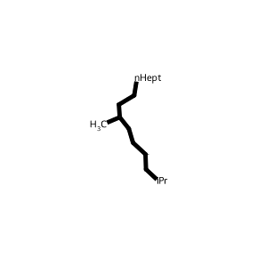 CCCCCCCCCC(C)CC[CH]CC(C)C